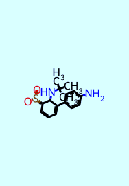 CC(C)(C)NC1C(c2ccc(N)cc2)=CC=CC1=S(=O)=O